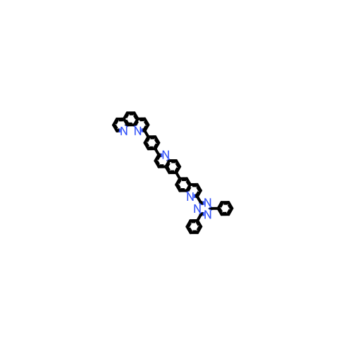 c1ccc(-c2nc(-c3ccccc3)nc(-c3ccc4cc(-c5ccc6nc(-c7ccc(-c8ccc9ccc%10cccnc%10c9n8)cc7)ccc6c5)ccc4n3)n2)cc1